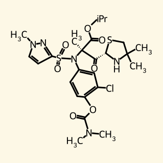 CC(C)OC(=O)[C@@](C)(C(=O)[C@H]1NC(C)(C)CS1)N(c1ccc(OC(=O)N(C)C)c(Cl)c1)S(=O)(=O)c1ccn(C)n1